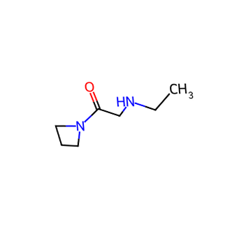 CCNCC(=O)N1CCC1